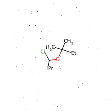 CCC(C)(C)OC(Cl)C(C)C